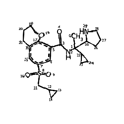 CC(NC(=O)c1cc(S(=O)(=O)CC2CC2)cc2c1OCCC2)(C1CC1)C1CCCN1